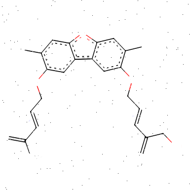 C=C(/C=C/COc1cc2c(cc1C)oc1cc(C)c(OC/C=C/C(=C)OC)cc12)CO